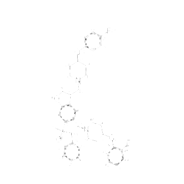 CC1(c2ccc3c(c2)OCC3CN2CCC(Oc3ccc(F)cc3)CC2)Oc2ccccc2C1CN1CCC(Oc2ccccc2F)CC1